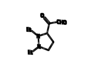 CCN1CCC(C(=O)C=O)N1CC